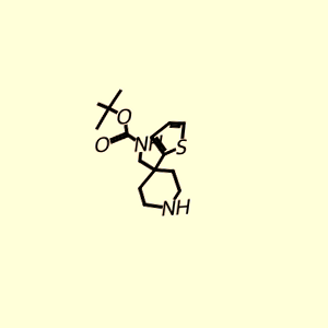 CC(C)(C)OC(=O)NCC1(c2cccs2)CCNCC1